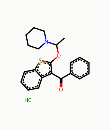 CC(Oc1sc2ccccc2c1C(=O)c1ccccc1)N1CCCCC1.Cl